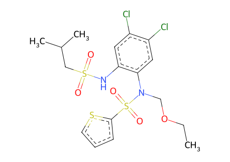 CCOCN(c1cc(Cl)c(Cl)cc1NS(=O)(=O)CC(C)C)S(=O)(=O)c1cccs1